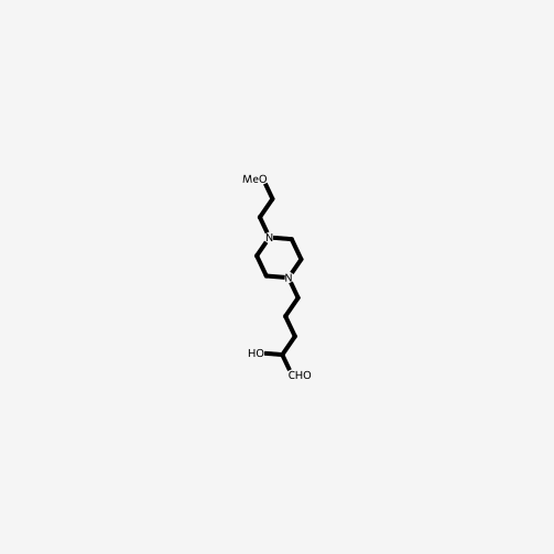 COCCN1CCN(CCCC(O)C=O)CC1